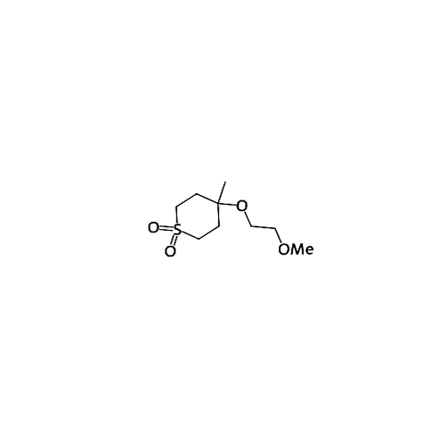 COCCOC1(C)CCS(=O)(=O)CC1